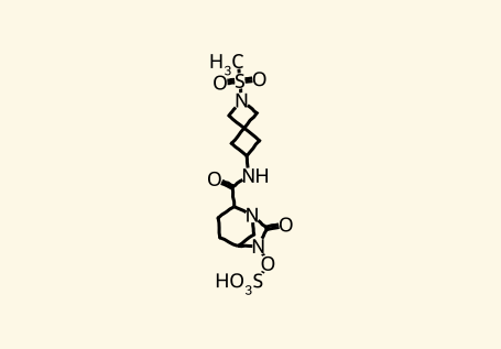 CS(=O)(=O)N1CC2(CC(NC(=O)C3CCC4CN3C(=O)N4OS(=O)(=O)O)C2)C1